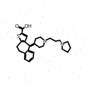 O=C(O)c1cc2c(s1)CCc1ccccc1C2=C1CCN(CCCN2CCCC2)CC1